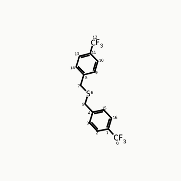 FC(F)(F)c1ccc(CSCc2ccc(C(F)(F)F)cc2)cc1